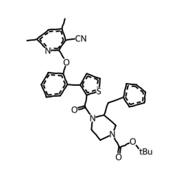 Cc1cc(C)c(C#N)c(Oc2ccccc2-c2ccsc2C(=O)N2CCN(C(=O)OC(C)(C)C)CC2Cc2ccccc2)n1